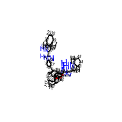 CC[C@@H]1C=C2CC3C[C@H]4CC(c5ccc6[nH]c([C@@H]7C[C@@H]8CCCC[C@@H]8N7)nc6c5)=C(CCC1C=C2c1ccc2[nH]c([C@@H]5C[C@@H]6CCCC[C@@H]6N5)nc2c1)C[C@@H]34